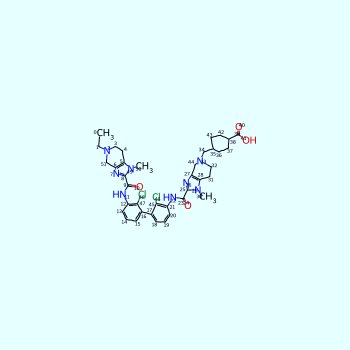 CCN1CCc2c(nc(C(=O)Nc3cccc(-c4cccc(NC(=O)c5nc6c(n5C)CCN(CC5CCC(C(=O)O)CC5)C6)c4Cl)c3Cl)n2C)C1